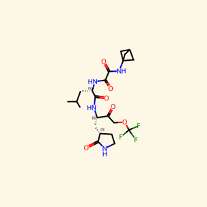 CC(C)C[C@H](NC(=O)C(=O)NC12CC(C1)C2)C(=O)N[C@@H](C[C@@H]1CCNC1=O)C(=O)COC(F)(F)F